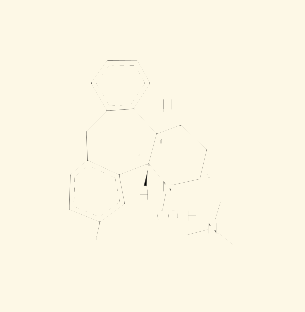 CN(C)C[C@H]1CC[C@@H]2c3ccccc3Cc3ccc(F)cc3[C@H]2N1C(=O)O